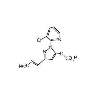 CON=Cc1cc(OC(=O)O)n(-c2ncccc2Cl)n1